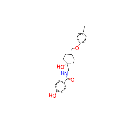 Cc1ccc(OC[C@H]2CC[C@](O)(CNC(=O)c3ccc(O)cc3)CC2)cc1